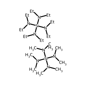 CCN(CC)[Si](N(CC)CC)(N(CC)CC)N(CC)CC.CN(C)[Si](N(C)C)(N(C)C)N(C)C